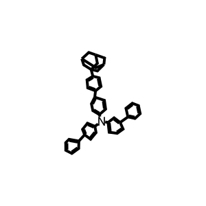 c1ccc(-c2ccc(N(c3ccc(-c4ccc(C56CC7CC(CC(C7)C5)C6)cc4)cc3)c3cccc(-c4ccccc4)c3)cc2)cc1